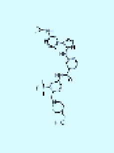 CCN1CCN(Cc2ccc(NC(=O)c3cccc(Nc4nccn4-c4cc(NC5CC5)ncn4)c3)cc2C(F)(F)F)CC1